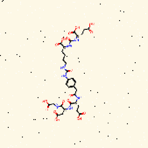 O=C(O)CC[C@H](NC(=O)N[C@@H](CCCCNC(=O)Nc1ccc(CC(=O)N[C@@H](CCC(=O)O)C(=O)N[C@@H](CC(=O)O)C(=O)NCC(=O)O)cc1)C(=O)O)C(=O)O